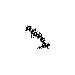 COc1cc(CC(=O)Nc2ccc(C(CC(=O)O)NCC(C)=O)cn2)ccc1NC(=O)Nc1ccccc1C